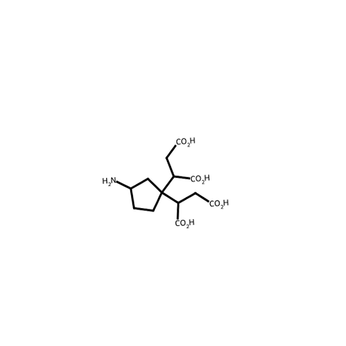 NC1CCC(C(CC(=O)O)C(=O)O)(C(CC(=O)O)C(=O)O)C1